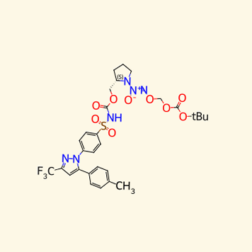 Cc1ccc(-c2cc(C(F)(F)F)nn2-c2ccc(S(=O)(=O)NC(=O)OC[C@@H]3CCCN3[N+]([O-])=NOCOC(=O)OC(C)(C)C)cc2)cc1